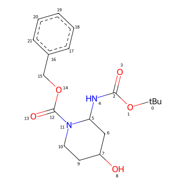 CC(C)(C)OC(=O)NC1CC(O)CCN1C(=O)OCc1ccccc1